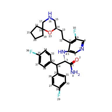 NC(=O)[C@@H](Nc1cncc(F)c1CC[C@@H]1CNCC2(CCCC2)O1)C(c1ccc(F)cc1)c1ccc(F)cc1